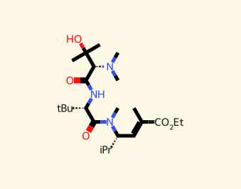 CCOC(=O)/C(C)=C/[C@H](C(C)C)N(C)C(=O)[C@@H](NC(=O)[C@@H](N(C)C)C(C)(C)O)C(C)(C)C